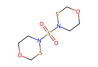 O=S(=O)(N1CCOCS1)N1CCOCS1